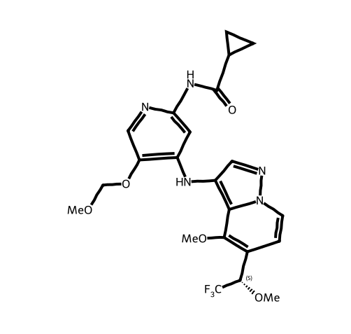 COCOc1cnc(NC(=O)C2CC2)cc1Nc1cnn2ccc([C@H](OC)C(F)(F)F)c(OC)c12